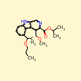 CCCOC(C)c1cccc2[nH]c3cnc(C(=O)OC(C)C)c(COC)c3c12